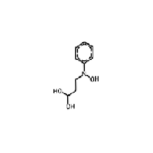 OC(O)CCN(O)c1ccccc1